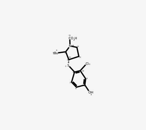 CC(C)(C)C1[C@@H](Sc2ccc(O)cc2Cl)CCN1C(=O)O